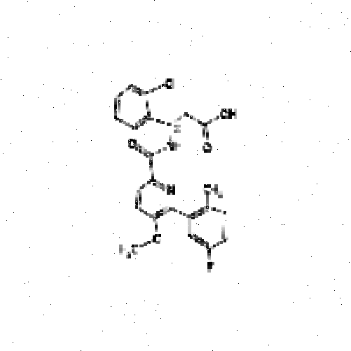 COc1ccc(C(=O)N[C@@H](CC(=O)O)c2ccccc2Cl)nc1-c1cc(F)ccc1C